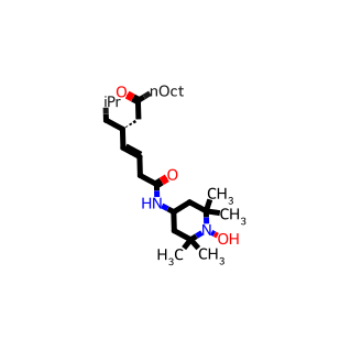 CCCCCCCCC(=O)C[C@H](/C=C/CC(=O)NC1CC(C)(C)N(O)C(C)(C)C1)CC(C)C